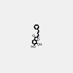 O=C1/C(=C\C=C\c2ccccc2)Oc2c1ccc(O)c2O